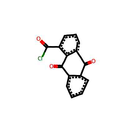 O=C(Cl)c1cccc2c1C(=O)c1ccccc1C2=O